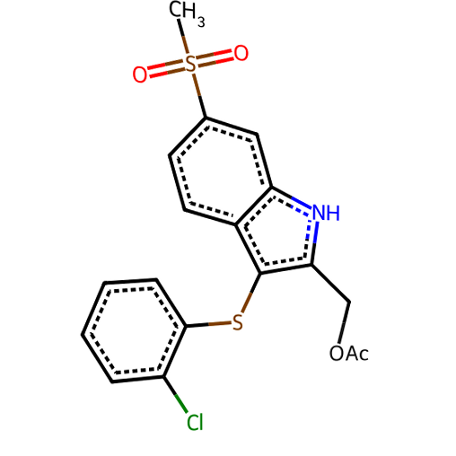 CC(=O)OCc1[nH]c2cc(S(C)(=O)=O)ccc2c1Sc1ccccc1Cl